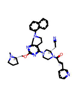 CN1CCC[C@H]1COc1nc2c(c(N3CCN(C(=O)/C=C/c4cccnc4)[C@@H](CC#N)C3)n1)CCN(c1cccc3ccccc13)C2